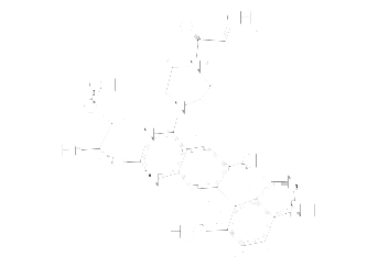 C=CC(=O)N1CCN(c2nc(OC(CC)COO)nc3cc(-c4c(C)ccc5[nH]ncc45)c(Cl)cc23)CC1